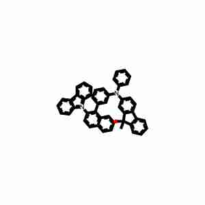 CC1(C)c2ccccc2-c2ccc(N(c3ccccc3)c3cccc(-c4c(-n5c6ccccc6c6ccccc65)ccc5ccccc45)c3)cc21